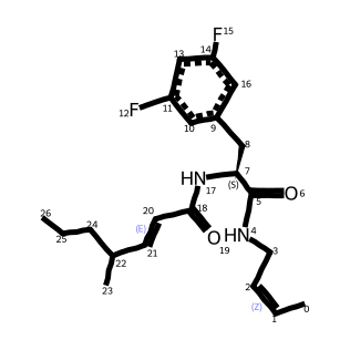 C/C=C\CNC(=O)[C@H](Cc1cc(F)cc(F)c1)NC(=O)/C=C/C(C)CCC